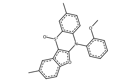 COc1ccccc1N1c2ccc(C)cc2[S+]([O-])c2c1oc1ccc(C)cc21